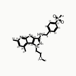 COCCn1nc(NCc2ccc(S(C)(=O)=O)cc2)c2sc3nc(C)cc(C)c3c21